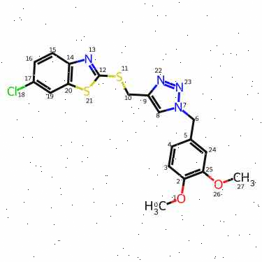 COc1ccc(Cn2cc(CSc3nc4ccc(Cl)cc4s3)nn2)cc1OC